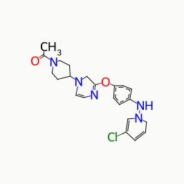 CC(=O)N1CCC(N2C=CN=C(Oc3ccc(NN4C=C(Cl)C=CC4)cc3)C2)CC1